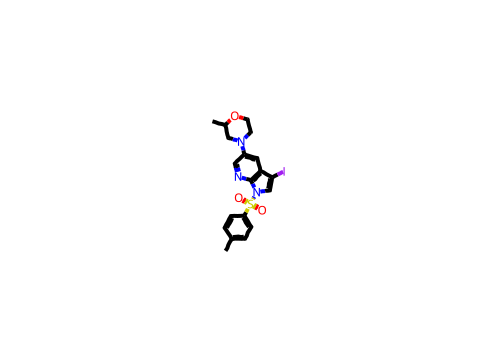 Cc1ccc(S(=O)(=O)n2cc(I)c3cc(N4CCOC(C)C4)cnc32)cc1